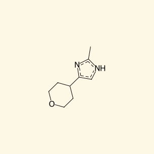 Cc1nc(C2CCOCC2)c[nH]1